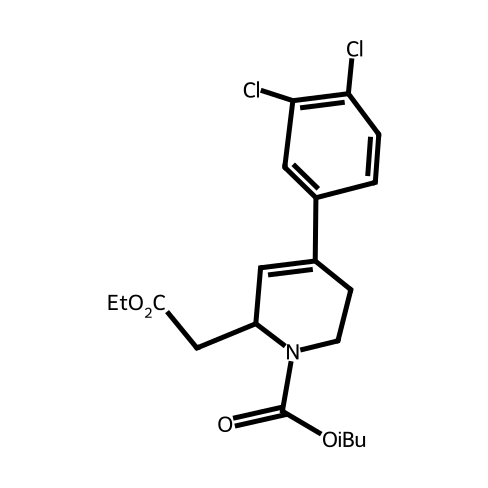 CCOC(=O)CC1C=C(c2ccc(Cl)c(Cl)c2)CCN1C(=O)OCC(C)C